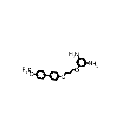 Nc1cc(N)cc(OCCCOc2ccc(-c3ccc(OC(F)(F)F)cc3)cc2)c1